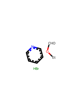 Br.CCOC=O.c1ccncc1